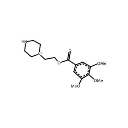 COc1cc(C(=O)OCC[N+]2CCNCC2)cc(OC)c1OC